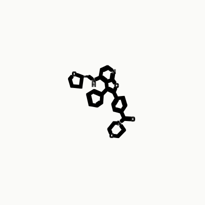 O=C(c1ccc(-c2oc3nccc(NC[C@@H]4CCCO4)c3c2-c2ccccc2)cc1)N1CCOCC1